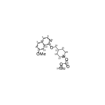 COc1ccc2ccnc(OCC3CCN(OC(=O)OC(C)(C)C)CC3)c2c1